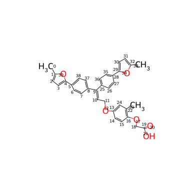 Cc1ccc(-c2ccc(C(=CCOc3ccc(OCC(=O)O)c(C)c3)c3ccc(-c4ccc(C)o4)cc3)cc2)o1